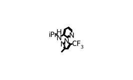 Cc1cc(C(F)(F)F)n(-c2ncccc2NC(C)C)n1